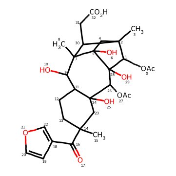 CC(=O)OC1C2(C)CC3(O)C(C)(C(O)C4CCC(C)(C(=O)c5ccoc5)CC4(O)C(OC(C)=O)C13O)C2CC(=O)O